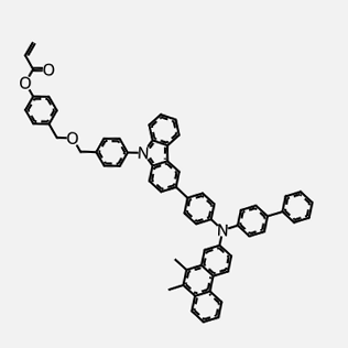 C=CC(=O)Oc1ccc(COCc2ccc(-n3c4ccccc4c4cc(-c5ccc(N(c6ccc(-c7ccccc7)cc6)c6ccc7c(c6)c(C)c(C)c6ccccc67)cc5)ccc43)cc2)cc1